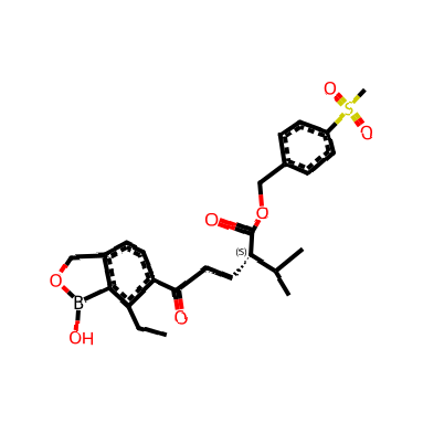 CCc1c(C(=O)CC[C@H](C(=O)OCc2ccc(S(C)(=O)=O)cc2)C(C)C)ccc2c1B(O)OC2